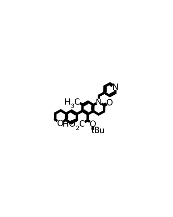 Cc1cc2c(c(C(OC(C)(C)C)C(=O)O)c1-c1ccc3c(c1)CCCO3)CCC(=O)N2Cc1ccncc1